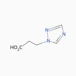 O=C(O)CCn1cncn1